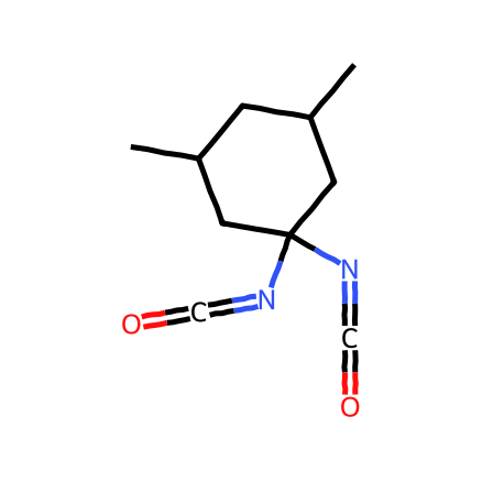 CC1CC(C)CC(N=C=O)(N=C=O)C1